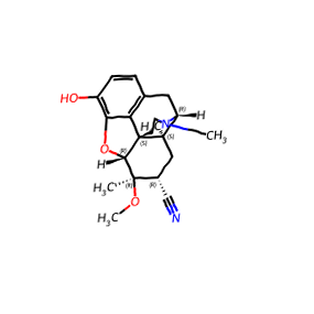 CO[C@]1(C)[C@@H](C#N)C[C@]2(C)[C@H]3Cc4ccc(O)c5c4[C@@]2(CCN3C)[C@H]1O5